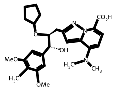 COc1cc([C@@H](O)[C@H](Cc2cc3c(N(C)C)ccc(C(=O)O)n3n2)OC2CCCC2)cc(OC)c1C